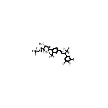 C[C@@H](NC(=O)c1ccc(/C=C/C(c2cc(Br)c(Cl)c(Br)c2)C(F)(F)F)cc1C(F)(F)F)C(=O)NCC(F)(F)F